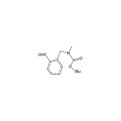 CN(Cc1ccccc1C=O)C(=O)OC(C)(C)C